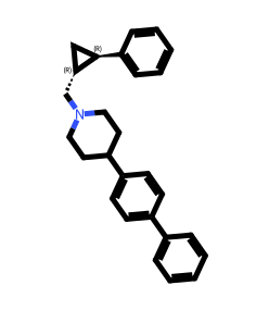 c1ccc(-c2ccc(C3CCN(C[C@@H]4C[C@H]4c4ccccc4)CC3)cc2)cc1